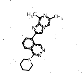 Cc1cn2cc(-c3cccc4c(N5CCCCC5)nncc34)nc2c(C)n1